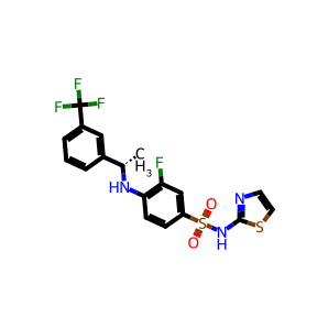 C[C@H](Nc1ccc(S(=O)(=O)Nc2nccs2)cc1F)c1cccc(C(F)(F)F)c1